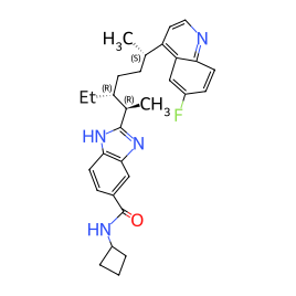 CC[C@H](CC[C@H](C)c1ccnc2ccc(F)cc12)[C@@H](C)c1nc2cc(C(=O)NC3CCC3)ccc2[nH]1